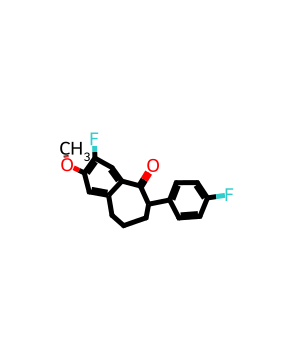 COc1cc2c(cc1F)C(=O)C(c1ccc(F)cc1)CCC2